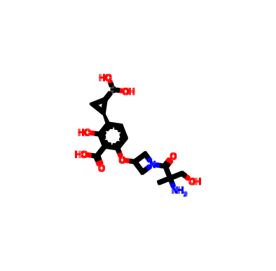 CC(N)(CO)C(=O)N1CC(Oc2ccc([C@H]3CC3B(O)O)c(O)c2C(=O)O)C1